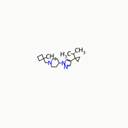 CC(C)C1(c2cnn(C3CCN(CC4(C)CCC4)CC3)c2)CC1